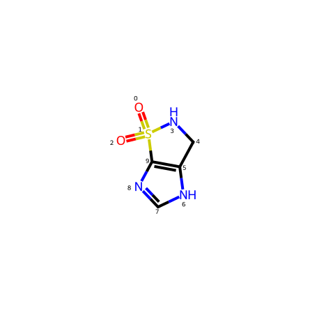 O=S1(=O)NCc2[nH]cnc21